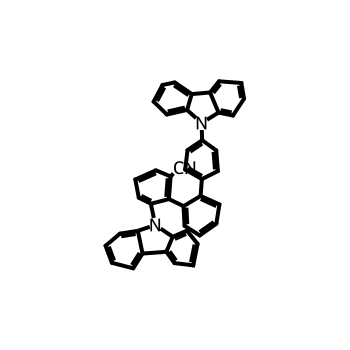 N#Cc1cccc(-n2c3ccccc3c3ccccc32)c1-c1ccccc1-c1ccc(-n2c3ccccc3c3ccccc32)cc1